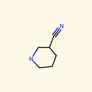 N#CC1CCC[N]C1